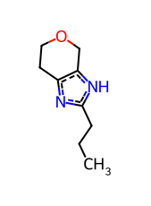 CCCc1nc2c([nH]1)COCC2